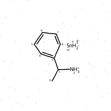 CC([NH3+])c1ccccc1.[I-].[SnH2]